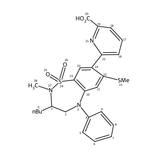 CCCCC1CN(c2ccccc2)c2cc(SC)c(-c3cccc(C(=O)O)n3)cc2S(=O)(=O)N1C